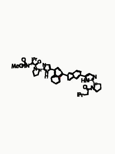 COC(=O)N[C@H](C(=O)N1CCC[C@H]1c1ncc(-c2ccc(-c3ccc4cc(-c5cnc([C@@H]6CCCN6C(=O)CC(C)C)[nH]5)ccc4c3)c3c2C2CCC3CC2)[nH]1)C(C)C